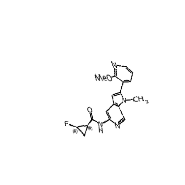 COc1ncccc1-c1cc2cc(NC(=O)[C@H]3C[C@H]3F)ncc2n1C